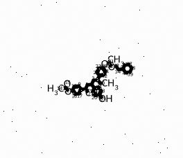 CCC(CC(CC(C)c1ccc(OC(C)=O)cc1)c1ccc(O)cc1)c1ccc(OC(C)OCCC2CCCCC2)cc1